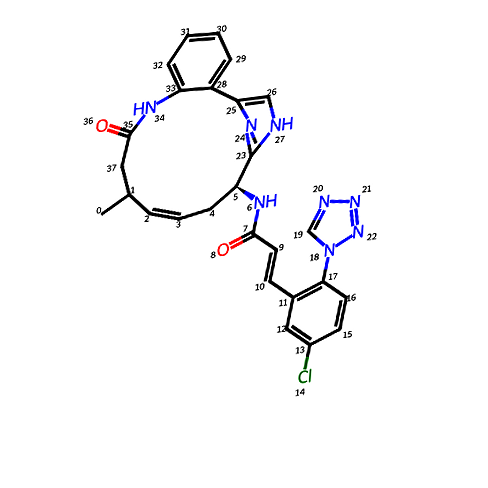 CC1/C=C\C[C@H](NC(=O)/C=C/c2cc(Cl)ccc2-n2cnnn2)c2nc(c[nH]2)-c2ccccc2NC(=O)C1